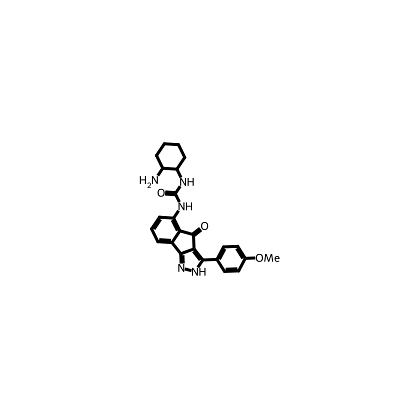 COc1ccc(-c2[nH]nc3c2C(=O)c2c(NC(=O)NC4CCCCC4N)cccc2-3)cc1